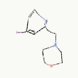 Ic1ccnc(CN2CCOCC2)c1